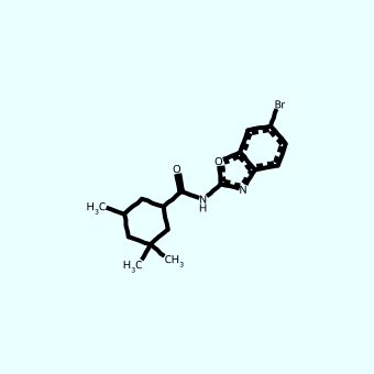 CC1CC(C(=O)Nc2nc3ccc(Br)cc3o2)CC(C)(C)C1